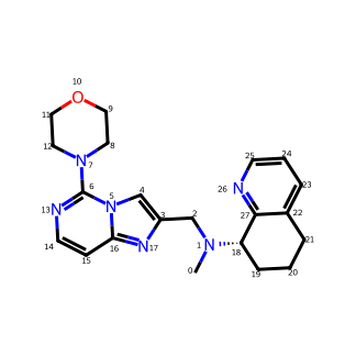 CN(Cc1cn2c(N3CCOCC3)nccc2n1)[C@H]1CCCc2cccnc21